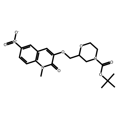 Cn1c(=O)c(OCC2CN(C(=O)OC(C)(C)C)CCO2)cc2cc([N+](=O)[O-])ccc21